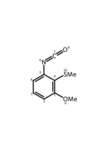 COc1cccc(N=C=O)c1SC